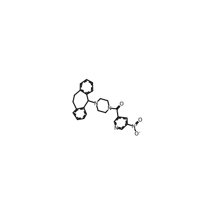 O=C(c1cncc([N+](=O)[O-])c1)N1CCN(C2c3ccccc3CCc3ccccc32)CC1